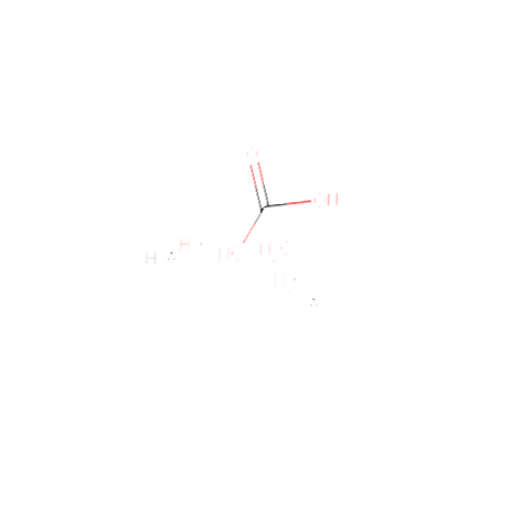 O.O.O.O=C(O)O.[AlH3].[AlH3]